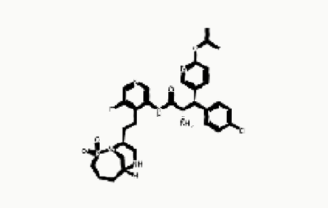 CC(C)Oc1ccc([C@@H](c2ccc(Cl)cc2)[C@H](N)C(=O)Nc2cncc(F)c2CC[C@H]2CN[C@@H]3CCCS(=O)(=O)N2C3)cn1